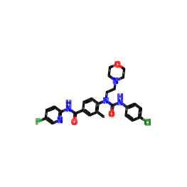 Cc1cc(C(=O)Nc2ccc(F)cn2)ccc1N(CCN1CCOCC1)C(=O)Nc1ccc(Cl)cc1